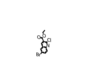 CCOC(=O)c1cc2cc(Br)ccc2nc1Cl